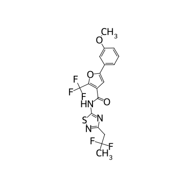 COc1cccc(-c2cc(C(=O)Nc3nc(CC(C)(F)F)ns3)c(C(F)(F)F)o2)c1